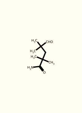 CC(C)(C=O)CC(C)(C)C(N)=O